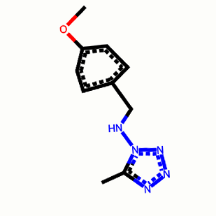 COc1ccc(CNn2nnnc2C)cc1